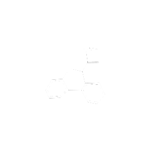 COC(=O)C1Sc2ccccc2-c2ccccc21